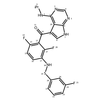 CC(C)Nc1ncnc2[nH]cc(C(=O)c3c(F)ccc(NSc4cccc(F)c4)c3F)c12